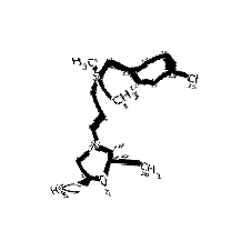 CC1CN(CCC[Si](C)(C)Cc2ccc(Cl)cc2)CC(C)O1